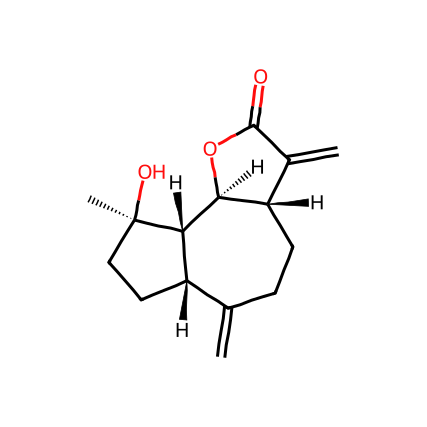 C=C1C(=O)O[C@@H]2[C@@H]3[C@@H](CC[C@@]3(C)O)C(=C)CC[C@@H]12